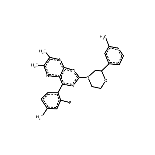 Cc1ccc(-c2nc(N3CCOC(c4ccnc(C)c4)C3)nc3nc(C)c(C)nc23)c(F)c1